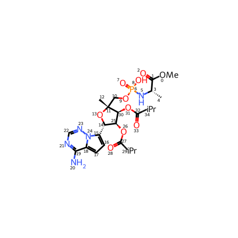 COC(=O)[C@H](C)NP(=O)(O)OC[C@@]1(C)O[C@@H](c2ccc3c(N)ncnn23)[C@H](OC(=O)C(C)C)[C@@H]1OC(=O)C(C)C